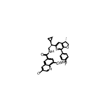 COc1cc(C(=O)NC[C@H](c2cc3c(c(-c4ccc(F)cc4)n2)OC[C@H]3C)C2CC2)cc2cc(Cl)cnc12